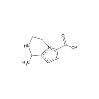 CC1NCCn2c(C(=O)O)ccc21